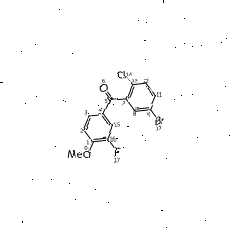 COc1ccc(C(=O)c2cc(Br)ccc2Cl)cc1F